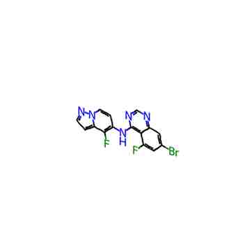 Fc1cc(Br)cc2ncnc(Nc3ccn4nccc4c3F)c12